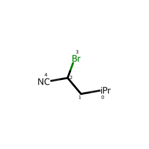 CC(C)CC(Br)C#N